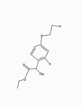 CCOC(=O)C(O)c1ccc(OCCF)cc1F